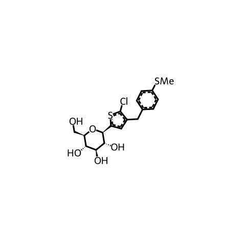 CSc1ccc(Cc2cc([C@@H]3O[C@H](CO)[C@@H](O)[C@H](O)[C@H]3O)sc2Cl)cc1